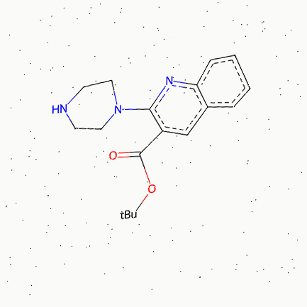 CC(C)(C)OC(=O)c1cc2ccccc2nc1N1CCNCC1